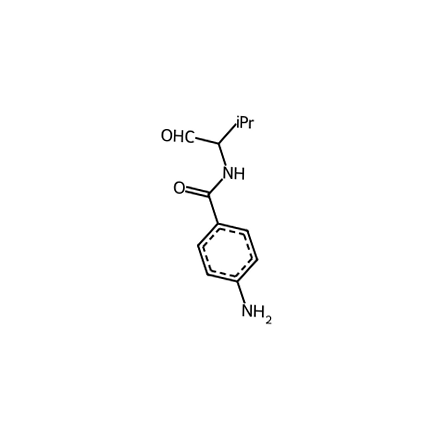 CC(C)C(C=O)NC(=O)c1ccc(N)cc1